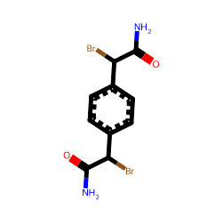 NC(=O)C(Br)c1ccc(C(Br)C(N)=O)cc1